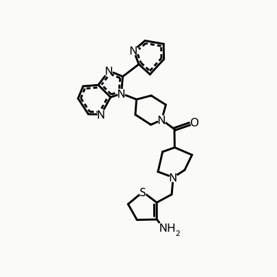 NC1=C(CN2CCC(C(=O)N3CCC(n4c(-c5ccccn5)nc5cccnc54)CC3)CC2)SCC1